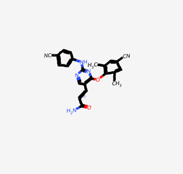 Cc1cc(C#N)cc(C)c1Oc1nc(Nc2ccc(C#N)cc2)ncc1/C=C/C(N)=O